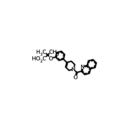 CC(C)(Oc1cccc(C2=CCN(C(=O)c3ccc4ccccc4n3)CC2)c1)C(=O)O